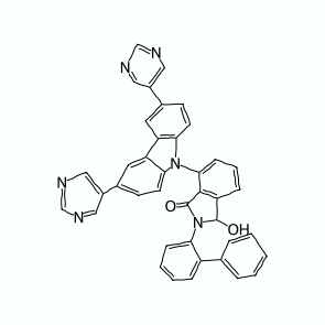 O=C1c2c(cccc2-n2c3ccc(-c4cncnc4)cc3c3cc(-c4cncnc4)ccc32)C(O)N1c1ccccc1-c1ccccc1